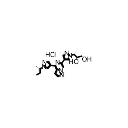 CC[C@H](C)n1cc(-c2nc(-c3cnn(C[C@H](O)CO)c3)cn3nccc23)cn1.Cl